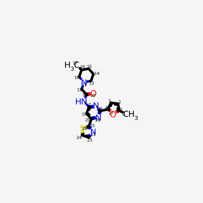 Cc1ccc(-c2nc(NC(=O)CN3CCCC(C)C3)cc(-c3nccs3)n2)o1